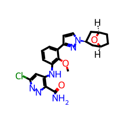 COc1c(Nc2cc(Cl)nnc2C(N)=O)cccc1-c1ccn([C@H]2C[C@H]3CC[C@@H](C2)O3)n1